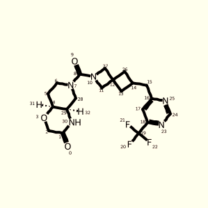 O=C1CO[C@H]2CCN(C(=O)N3CC4(CC(Cc5cc(C(F)(F)F)ncn5)C4)C3)C[C@H]2N1